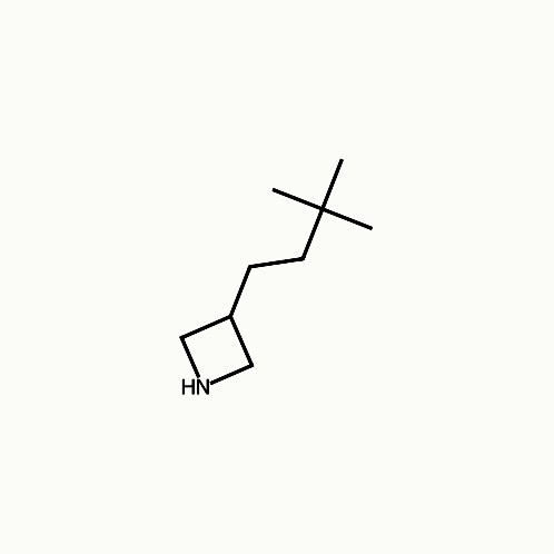 CC(C)(C)CCC1CNC1